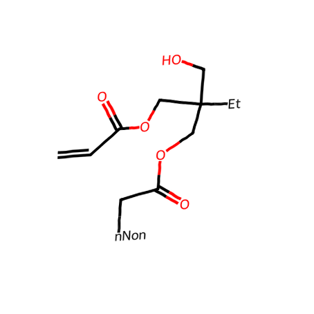 C=CC(=O)OCC(CC)(CO)COC(=O)CCCCCCCCCC